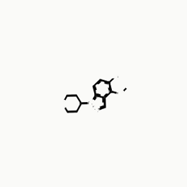 COc1c(Br)ccc2c1cnn2C1CCOCC1